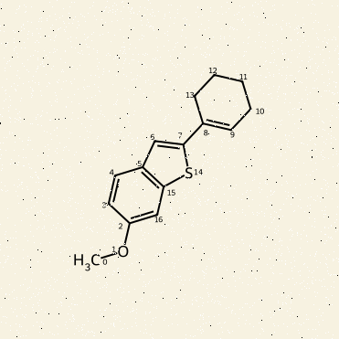 COc1ccc2cc(C3=CCCCC3)sc2c1